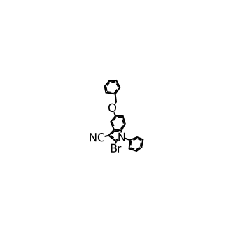 N#Cc1c(Br)n(-c2ccccc2)c2ccc(OCc3ccccc3)cc12